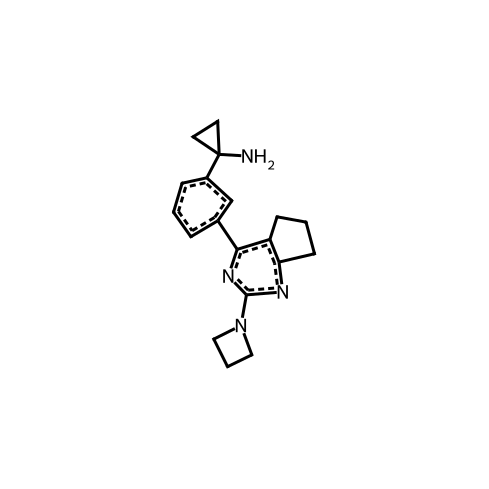 NC1(c2cccc(-c3nc(N4CCC4)nc4c3CCC4)c2)CC1